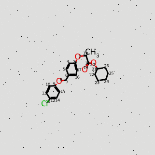 CC(Oc1ccc(COc2ccc(Cl)cc2)cc1)C(=O)OC1CCCCC1